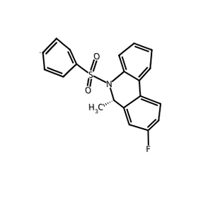 C[C@H]1c2cc(F)ccc2-c2ccccc2N1S(=O)(=O)c1cc[c]cc1